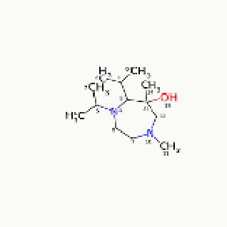 CC(C)C1N(C(C)C)CCN(C)CC1(C)O